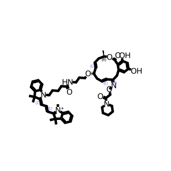 C[C@@H]1C/C=C/[C@@H](OCCCNC(=O)CCCCN2/C(=C\C=C\C3=[N+](C)c4ccccc4C3(C)C)C(C)(C)c3ccccc32)C/C=C/C(=N\OCC(=O)N2CCCCC2)Cc2cc(O)cc(O)c2C(=O)O1